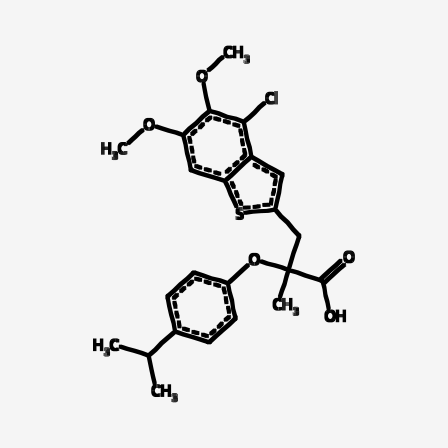 COc1cc2sc(CC(C)(Oc3ccc(C(C)C)cc3)C(=O)O)cc2c(Cl)c1OC